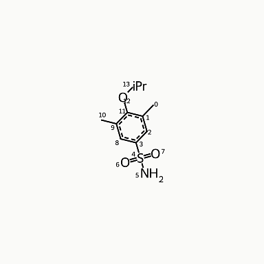 Cc1cc(S(N)(=O)=O)cc(C)c1OC(C)C